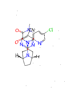 Cn1c(=O)c(=O)n([C@@H]2C[C@H]3CC[C@@H](C2)N3c2ncc(C#N)cn2)c2ncc(Cl)cc21